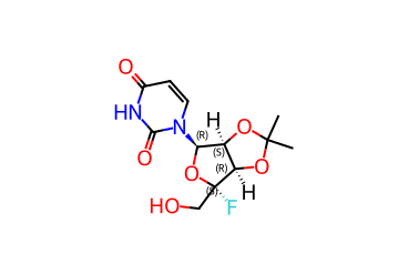 CC1(C)O[C@@H]2[C@H](n3ccc(=O)[nH]c3=O)O[C@](F)(CO)[C@@H]2O1